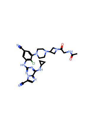 CC(=O)NCC(=O)N1CC(N2CCN(c3cc(C#N)cc(Nc4nc(NC5CC5)c5ncc(C#N)n5n4)c3Cl)CC2)C1